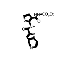 CCOC(=O)NC(=O)c1ccsc1NC(=O)c1cc2cnccc2s1